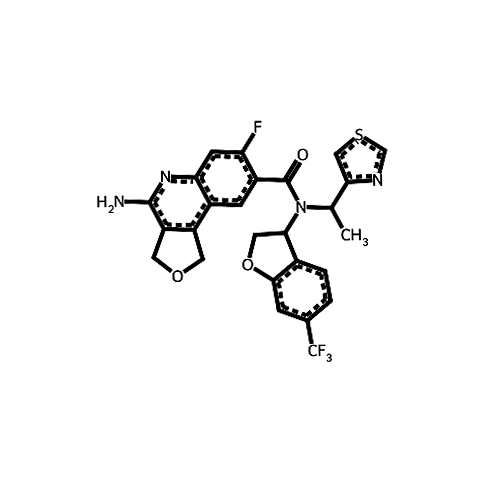 CC(c1cscn1)N(C(=O)c1cc2c3c(c(N)nc2cc1F)COC3)C1COc2cc(C(F)(F)F)ccc21